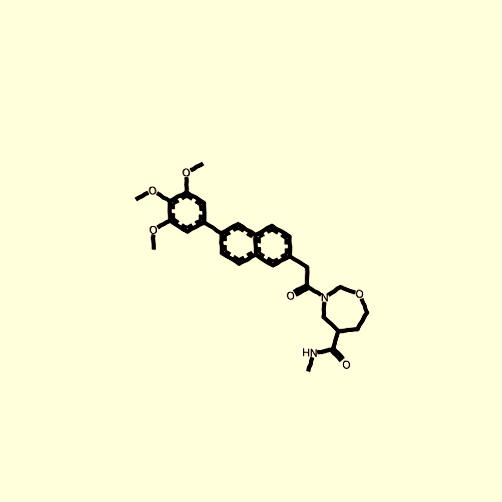 CNC(=O)C1CCOCN(C(=O)Cc2ccc3cc(-c4cc(OC)c(OC)c(OC)c4)ccc3c2)C1